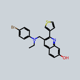 CCN(Cc1cc2ccc(O)cc2nc1-c1ccsc1)c1ccc(Br)cc1